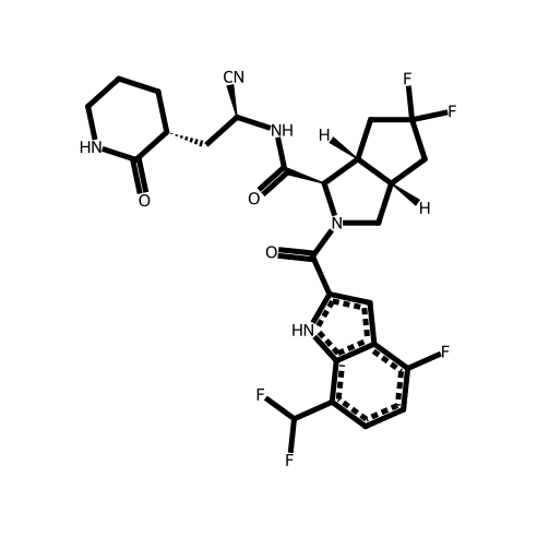 N#C[C@H](C[C@H]1CCCNC1=O)NC(=O)[C@H]1[C@@H]2CC(F)(F)C[C@@H]2CN1C(=O)c1cc2c(F)ccc(C(F)F)c2[nH]1